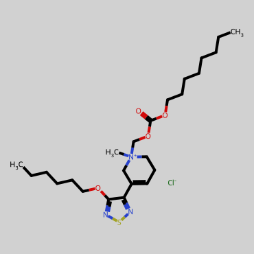 CCCCCCCCOC(=O)OC[N+]1(C)CCC=C(c2nsnc2OCCCCCC)C1.[Cl-]